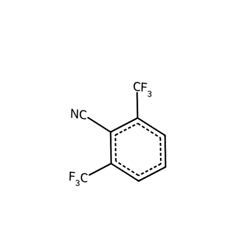 N#Cc1c(C(F)(F)F)cccc1C(F)(F)F